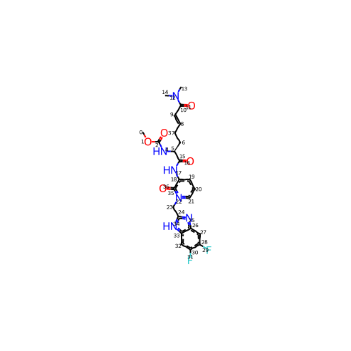 COC(=O)N[C@@H](CC/C=C/C(=O)N(C)C)C(=O)Nc1cccn(Cc2nc3cc(F)c(F)cc3[nH]2)c1=O